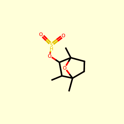 CC1C(O[SH](=O)=O)C2(C)CCC1(C)O2